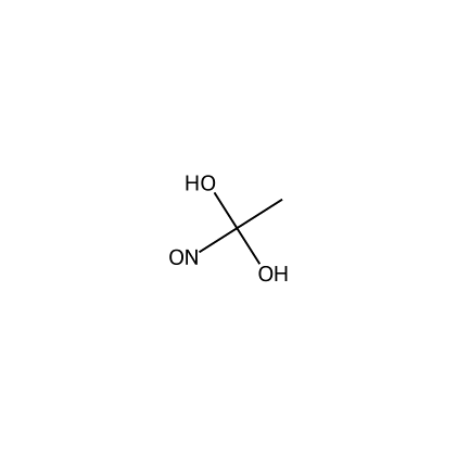 CC(O)(O)N=O